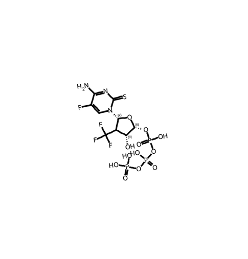 Nc1nc(=S)n([C@@H]2O[C@H](OP(=O)(O)OP(=O)(O)OP(=O)(O)O)[C@H](O)C2C(F)(F)F)cc1F